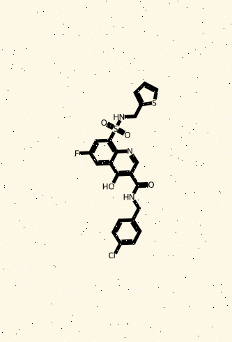 O=C(NCc1ccc(Cl)cc1)c1cnc2c(S(=O)(=O)NCc3cccs3)cc(F)cc2c1O